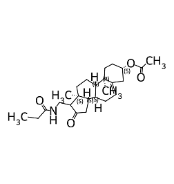 CCC(=O)NCC1C(=O)C[C@H]2[C@@H]3CC=C4C[C@@H](OC(C)=O)CC[C@]4(C)[C@H]3CC[C@]12C